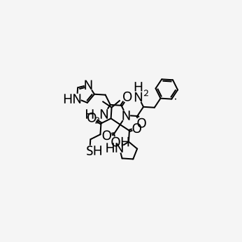 CC(C)C(C(=O)CCS)C(C(=O)O)(C(=O)C1CCCN1)N(C(=O)C(N)Cc1[c]cccc1)C(=O)C(N)Cc1c[nH]cn1